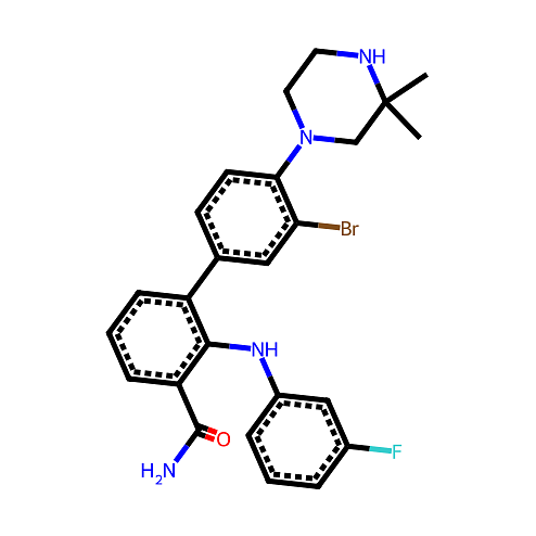 CC1(C)CN(c2ccc(-c3cccc(C(N)=O)c3Nc3cccc(F)c3)cc2Br)CCN1